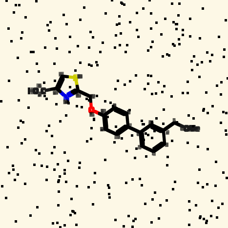 COCc1cccc(-c2ccc(OCc3nc(C(=O)O)cs3)cc2)c1